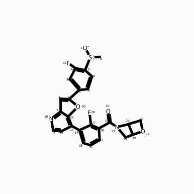 C[S+]([O-])c1ccc(-c2cc3nccc(-c4cccc(C(=O)N5CC6OCC65)c4F)c3o2)cc1F